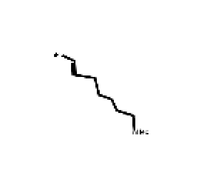 CCCC=CCCCCCCCCCCC